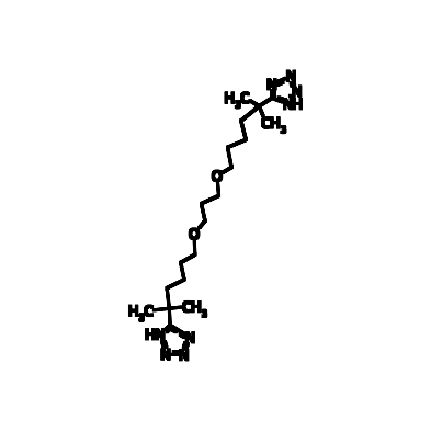 CC(C)(CCCCOCCCOCCCCC(C)(C)c1nnn[nH]1)c1nnn[nH]1